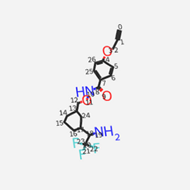 C#CCOc1ccc(C(=O)NOCC2CCCC(C(N)C(F)(F)F)C2)cc1